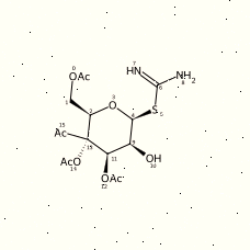 CC(=O)OC[C@H]1O[C@@H](SC(=N)N)[C@@H](O)[C@@H](OC(C)=O)[C@@]1(OC(C)=O)C(C)=O